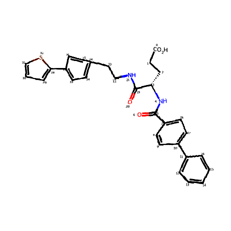 O=C(O)CC[C@H](NC(=O)c1ccc(-c2ccccc2)cc1)C(=O)NCCc1ccc(-c2cccs2)cc1